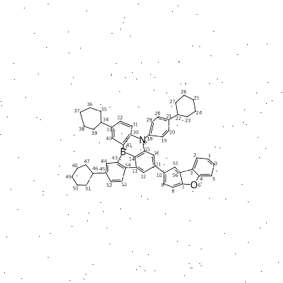 c1ccc2c(c1)oc1ccc(-c3cc4c5c(c3)N(c3ccc(C6CCCCC6)cc3)c3ccc(C6CCCCC6)cc3B5c3cc(C5CCCCC5)ccc3-4)cc12